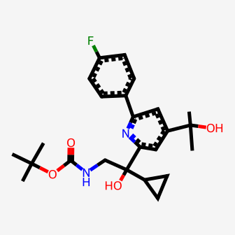 CC(C)(C)OC(=O)NCC(O)(c1cc(C(C)(C)O)cc(-c2ccc(F)cc2)n1)C1CC1